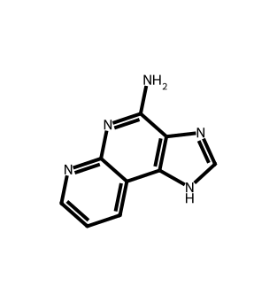 Nc1nc2ncccc2c2[nH]cnc12